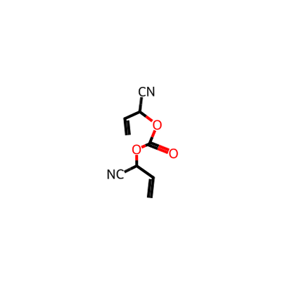 C=CC(C#N)OC(=O)OC(C#N)C=C